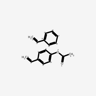 C=Cc1ccc(OC(C)=O)cc1.C=Cc1ccccc1